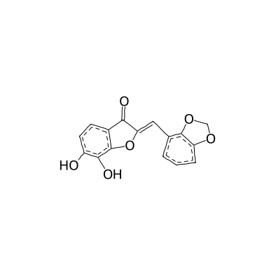 O=C1C(=Cc2cccc3c2OCO3)Oc2c1ccc(O)c2O